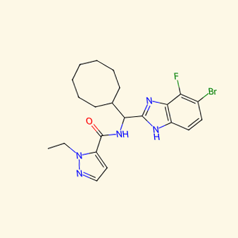 CCn1nccc1C(=O)NC(c1nc2c(F)c(Br)ccc2[nH]1)C1CCCCCCC1